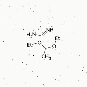 CCOC(C)OCC.N=CN